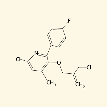 C=C(CCl)COc1c(C)cc(Cl)nc1-c1ccc(F)cc1